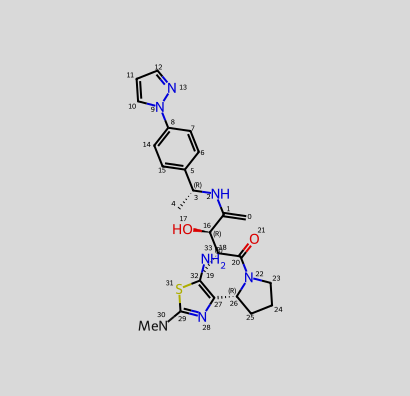 C=C(N[C@H](C)c1ccc(-n2cccn2)cc1)[C@H](O)[C@@H](C)C(=O)N1CCC[C@@H]1c1nc(NC)sc1N